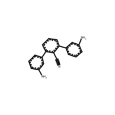 N#Cc1c(-c2cccc(N)c2)cccc1-c1cccc(N)c1